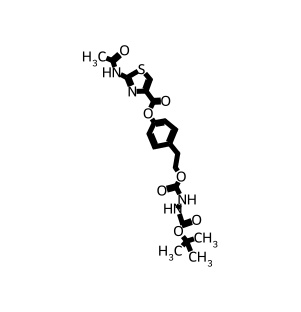 CC(=O)Nc1nc(C(=O)Oc2ccc(CCOC(=O)NNC(=O)OC(C)(C)C)cc2)cs1